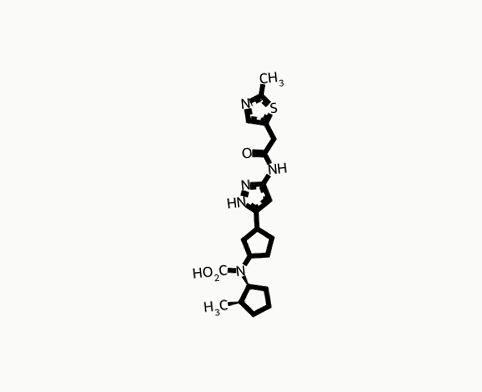 Cc1ncc(CC(=O)Nc2cc(C3CCC(N(C(=O)O)[C@H]4CCC[C@H]4C)C3)[nH]n2)s1